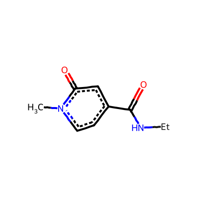 CCNC(=O)c1ccn(C)c(=O)c1